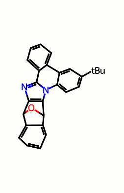 CC(C)(C)c1ccc2c(c1)c1ccccc1c1nc3c(n21)C1OC3c2ccccc21